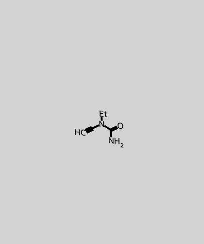 C#CN(CC)C(N)=O